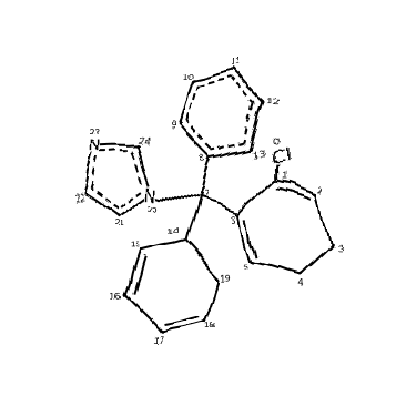 ClC1=CCCC=C1C(c1ccccc1)(C1C=CC=CC1)n1ccnc1